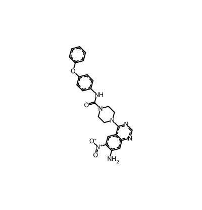 Nc1cc2ncnc(N3CCN(C(=O)Nc4ccc(Oc5ccccc5)cc4)CC3)c2cc1[N+](=O)[O-]